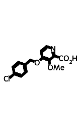 COc1c(OCc2ccc(Cl)cc2)ccnc1C(=O)O